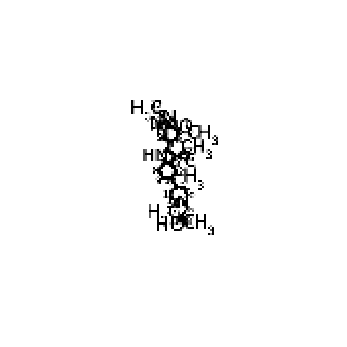 COc1cc(-c2[nH]c3ccc(C4CCN(CC(C)(C)O)CC4)cc3c2C(C)C)cn2nc(C)nc12